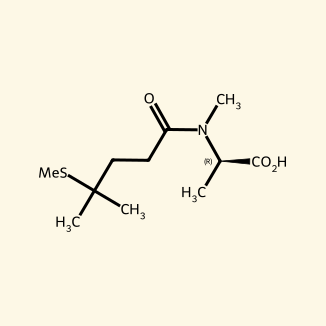 CSC(C)(C)CCC(=O)N(C)[C@H](C)C(=O)O